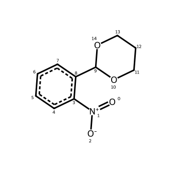 O=[N+]([O-])c1ccccc1C1OCCCO1